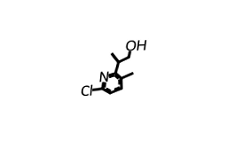 Cc1ccc(Cl)nc1C(C)CO